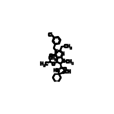 C#CC1(NC(=O)C2C(OC(C)C)c3c(nc(CC)n(Cc4cccc(Cl)c4)c3=O)N2C)CCCCC1